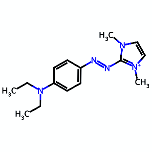 CCN(CC)c1ccc(N=Nc2n(C)cc[n+]2C)cc1